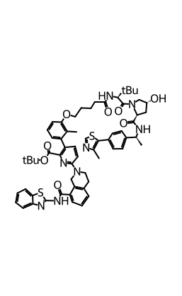 Cc1ncsc1-c1ccc([C@H](C)NC(=O)[C@@H]2C[C@@H](O)CN2C(=O)[C@@H](NC(=O)CCCCOc2cccc(-c3ccc(N4CCc5cccc(C(=O)Nc6nc7ccccc7s6)c5C4)nc3C(=O)OC(C)(C)C)c2C)C(C)(C)C)cc1